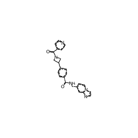 O=C(NCc1ccn2ccnc2c1)c1ccc(C2CN(C(=O)c3ccncc3)C2)cc1